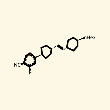 CCCCCC[C@H]1CC[C@H](C=C[C@H]2CC[C@H](c3ccc(C#N)c(F)c3)CC2)CC1